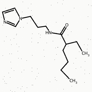 CCCCC(CC)C(=O)NCCCn1ccnc1